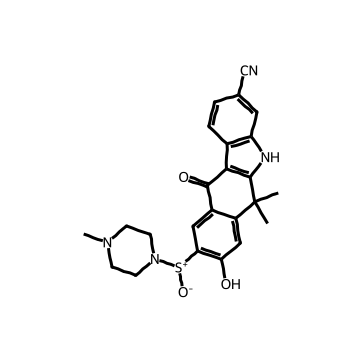 CN1CCN([S+]([O-])c2cc3c(cc2O)C(C)(C)c2[nH]c4cc(C#N)ccc4c2C3=O)CC1